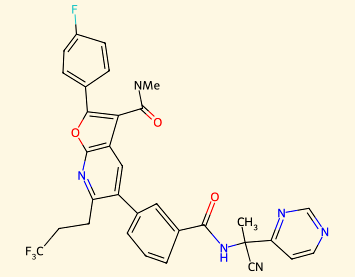 CNC(=O)c1c(-c2ccc(F)cc2)oc2nc(CCC(F)(F)F)c(-c3cccc(C(=O)NC(C)(C#N)c4ccncn4)c3)cc12